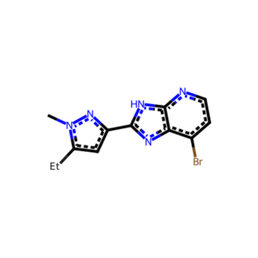 CCc1cc(-c2nc3c(Br)ccnc3[nH]2)nn1C